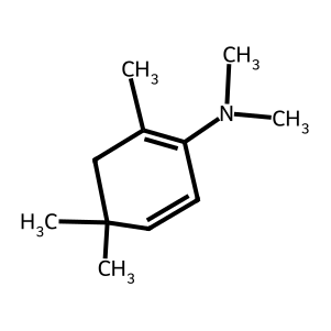 CC1=C(N(C)C)C=CC(C)(C)C1